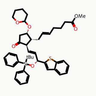 COC(=O)CCCC=CC[C@H]1[C@@H](OC2CCCCO2)CC(=O)[C@@H]1C=C[C@@H](O[Si](c1ccccc1)(c1ccccc1)C(C)(C)C)c1cc2ccccc2s1